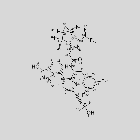 Cn1nc(O)c2cccc(-c3ccc(C#CC(C)(C)O)nc3[C@H](Cc3cc(F)cc(F)c3)NC(=O)Cn3nc(C(F)F)c4c3C(F)(F)[C@@H]3C[C@H]43)c21